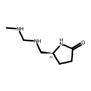 CNCNC[C@@H]1CCC(=O)N1